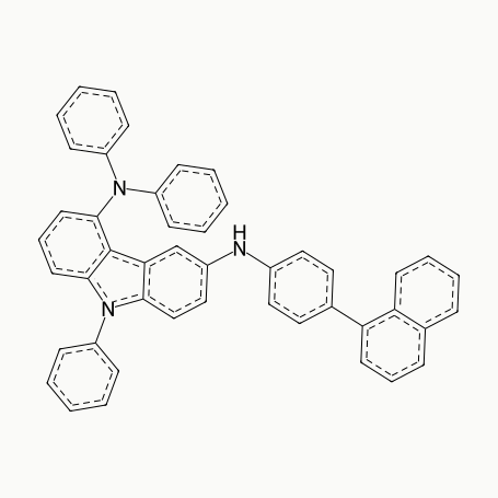 c1ccc(N(c2ccccc2)c2cccc3c2c2cc(Nc4ccc(-c5cccc6ccccc56)cc4)ccc2n3-c2ccccc2)cc1